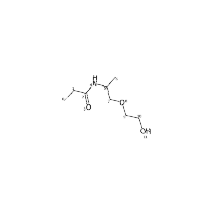 CCC(=O)NC(C)COCCO